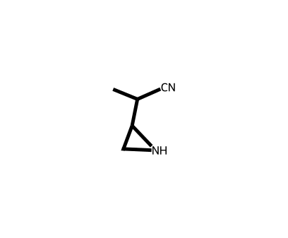 CC(C#N)C1CN1